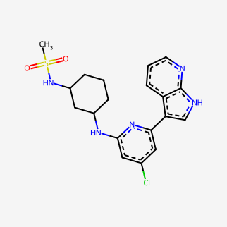 CS(=O)(=O)NC1CCCC(Nc2cc(Cl)cc(-c3c[nH]c4ncccc34)n2)C1